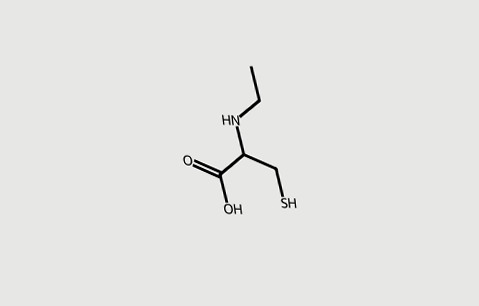 CCNC(CS)C(=O)O